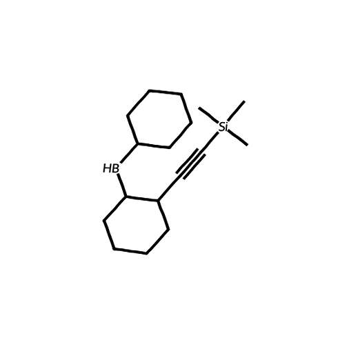 C[Si](C)(C)C#CC1CCCCC1BC1CCCCC1